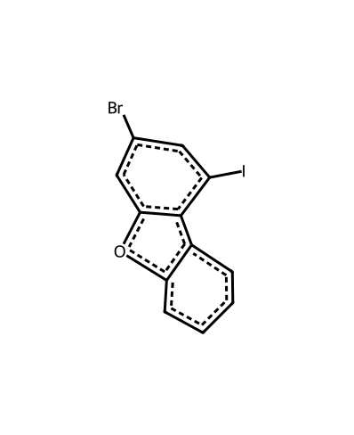 Brc1cc(I)c2c(c1)oc1ccccc12